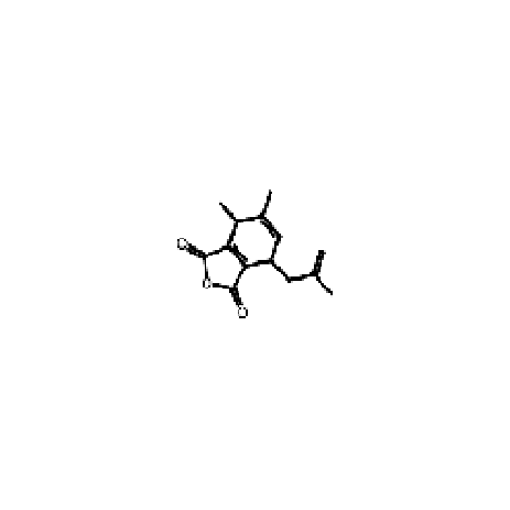 C=C(C)CC1C=C(C)C(C)C2=C1C(=O)OC2=O